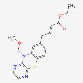 CCOC(=O)/C=C/Cc1ccc2c(c1)N(COC)c1nccnc1S2